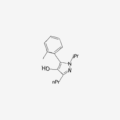 CCCc1nn(C(C)C)c(-c2ccccc2C)c1O